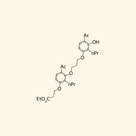 CCCc1c(OCCCOc2c(C(C)=O)ccc(OCCC(=O)OCC)c2CCC)ccc(C(C)=O)c1O